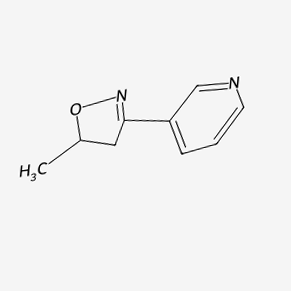 CC1CC(c2cccnc2)=NO1